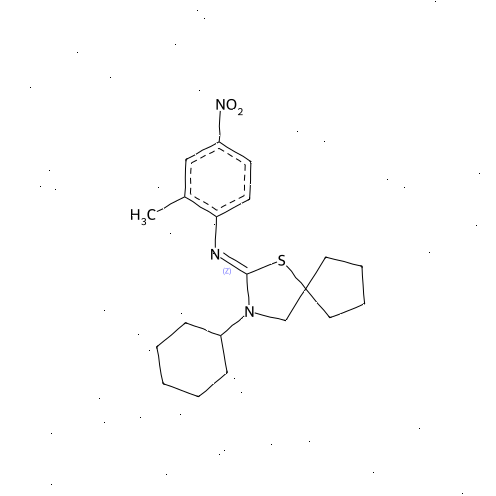 Cc1cc([N+](=O)[O-])ccc1/N=C1\SC2(CCCC2)CN1C1CCCCC1